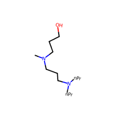 CCCN(CCC)CCCN(C)CCCO